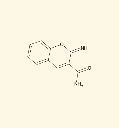 N=c1oc2ccccc2cc1C(N)=O